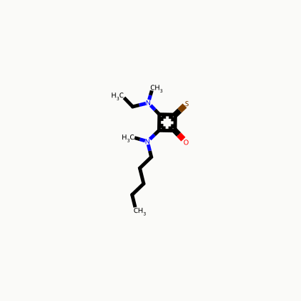 CCCCCN(C)c1c(N(C)CC)c(=S)c1=O